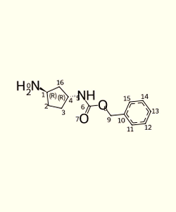 N[C@@H]1CC[C@@H](NC(=O)OCc2ccccc2)C1